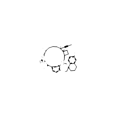 CC#C[C@@]1(O)CCC[C@H](C)[C@@H](C)S(=O)(=O)NC(=O)c2ccc3c(c2)N(C[C@@H]2CC[C@H]21)C[C@@]1(CCCc2cc(Cl)ccc21)CO3